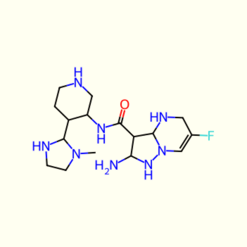 CN1CCNC1C1CCNCC1NC(=O)C1C(N)NN2C=C(F)CNC12